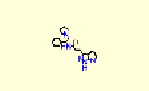 O=C(C=Cc1n[nH]c2ncccc12)N[C@H](CN1CCCC1)c1ccccc1